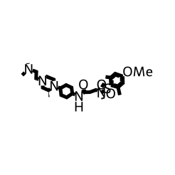 COc1cc(C)c(S(=O)(=O)N(C)CCC(=O)NC2CCC(N3CCN(CCN(C)C)C[C@H]3C)CC2)c(C)c1